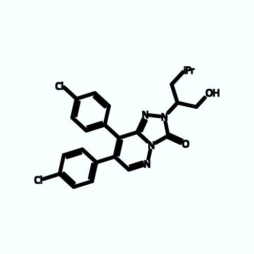 CC(C)CC(CO)n1nc2c(-c3ccc(Cl)cc3)c(-c3ccc(Cl)cc3)cnn2c1=O